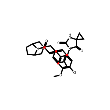 COc1cc(C=CC(=O)N2C3CCC2CN(Cc2ccc(F)cc2)C3)c(N2C(=O)NC3(CC3)C2=O)cc1Cl